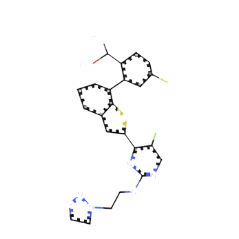 OC(c1ccc(F)cc1-c1cccc2cc(-c3nc(NCCn4ccnn4)ncc3F)sc12)C(F)(F)F